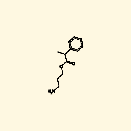 CC(C(=O)OCCCN)c1ccccc1